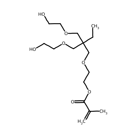 C=C(C)C(=O)OCCOCC(CC)(COCCO)COCCO